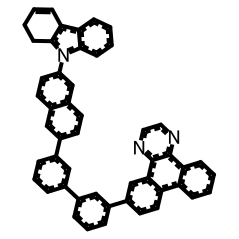 C1=Cc2c(n(-c3ccc4cc(-c5cccc(-c6cccc(-c7ccc8c9ccccc9c9nccnc9c8c7)c6)c5)ccc4c3)c3ccccc23)CC1